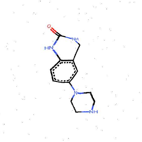 O=C1NCc2cc(N3CCNCC3)ccc2N1